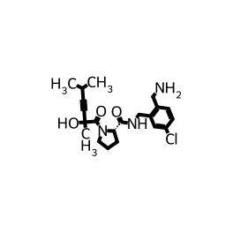 CC(C)C#CC(C)(O)C(=O)N1CCC[C@H]1C(=O)NCc1cc(Cl)ccc1CN